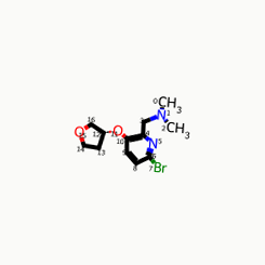 CN(C)Cc1nc(Br)ccc1O[C@@H]1CCOC1